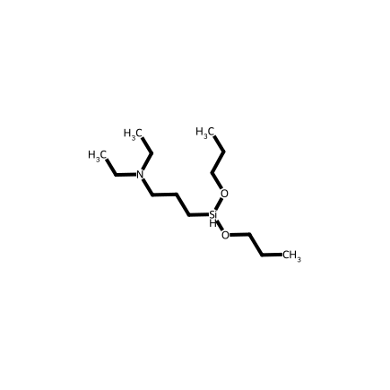 CCCO[SiH](CCCN(CC)CC)OCCC